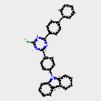 Clc1nc(-c2ccc(-c3ccccc3)cc2)nc(-c2ccc(-n3c4ccccc4c4ccccc43)cc2)n1